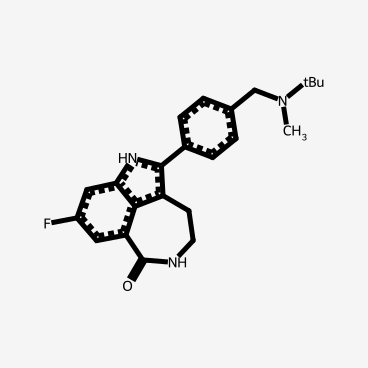 CN(Cc1ccc(-c2[nH]c3cc(F)cc4c3c2CCNC4=O)cc1)C(C)(C)C